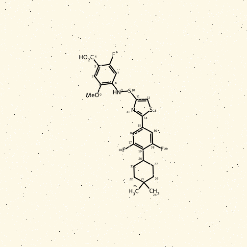 COc1cc(C(=O)O)c(F)cc1NSc1csc(-c2cc(F)c(C3CCC(C)(C)CC3)c(F)c2)n1